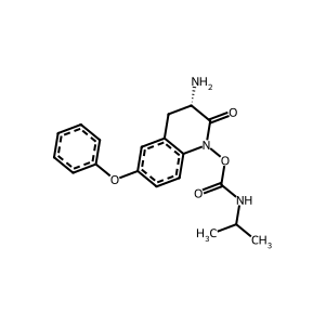 CC(C)NC(=O)ON1C(=O)[C@@H](N)Cc2cc(Oc3ccccc3)ccc21